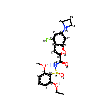 CCOc1cccc(OC)c1[S+]([O-])NC(=O)c1cc2c(F)cc(N3CCC3)cc2o1